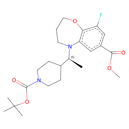 COC(=O)c1cc(F)c2c(c1)N([C@@H](C)C1CCN(C(=O)OC(C)(C)C)CC1)CCCO2